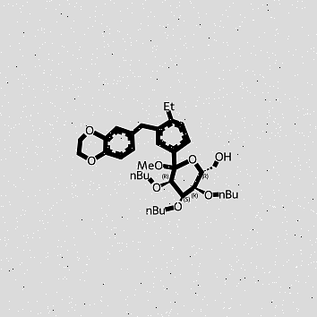 CCCCO[C@H]1[C@H](OCCCC)[C@@H](CO)OC(OC)(c2ccc(CC)c(Cc3ccc4c(c3)OCCO4)c2)[C@@H]1OCCCC